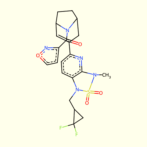 CN1c2nc(C3=CC4CCC(C3)N4C(=O)c3ccon3)ccc2N(CC2CC2(F)F)S1(=O)=O